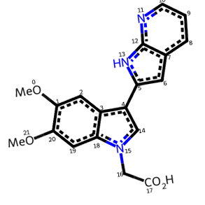 COc1cc2c(-c3cc4cccnc4[nH]3)cn(CC(=O)O)c2cc1OC